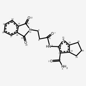 NC(=O)c1c(NC(=O)CCN2C(=O)c3ccccc3C2=O)sc2c1CCC2